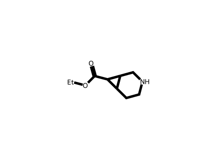 CCOC(=O)C1C2CCNCC21